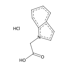 Cl.O=C(O)Cn1ccc2ccccc21